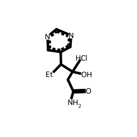 CCC(c1cncnc1)C(C)(O)CC(N)=O.Cl